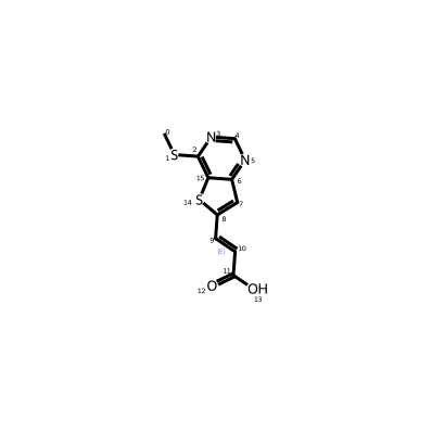 CSc1ncnc2cc(/C=C/C(=O)O)sc12